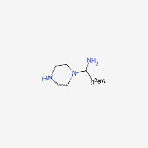 CCCCCC(N)N1CCNCC1